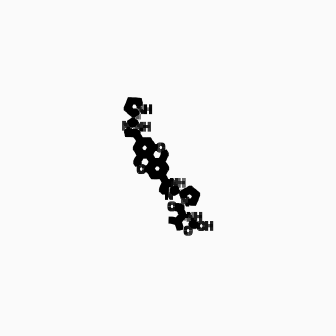 CC(C)[C@H](NC(=O)O)C(=O)N1CCC[C@H]1c1ncc(-c2cc3c4c(c2)OCc2cc(-c5cnc([C@@H]6CCCN6)[nH]5)cc(c2-4)OC3)[nH]1